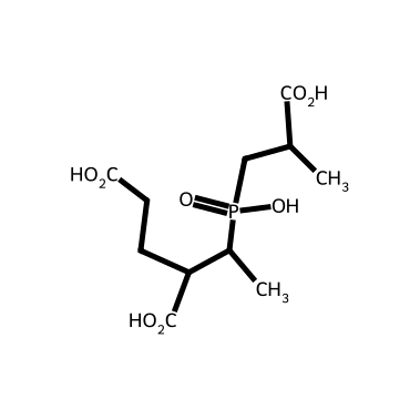 CC(CP(=O)(O)C(C)C(CCC(=O)O)C(=O)O)C(=O)O